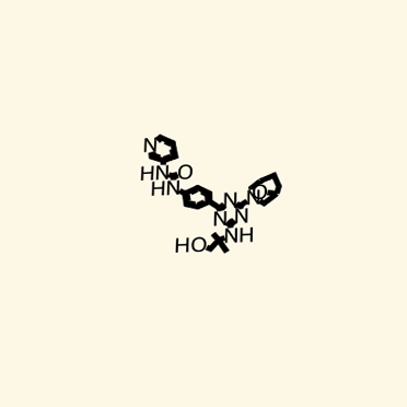 CC(C)(CO)Nc1nc(-c2ccc(NC(=O)Nc3cccnc3)cc2)nc(N2CC3CCC(C2)O3)n1